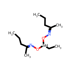 CCCC(C)=NO[SiH](CC)ON=C(C)CCC